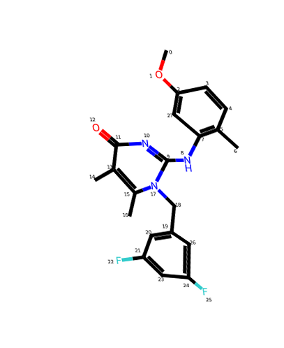 COc1ccc(C)c(Nc2nc(=O)c(C)c(C)n2Cc2cc(F)cc(F)c2)c1